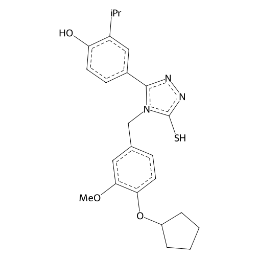 COc1cc(Cn2c(S)nnc2-c2ccc(O)c(C(C)C)c2)ccc1OC1CCCC1